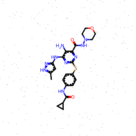 Cc1cc(Nc2nc(Sc3ccc(NC(=O)C4CC4)cc3)nc(C(=O)NN3CCOCC3)c2N)n[nH]1